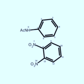 CC(=O)Nc1ccccc1.O=[N+]([O-])c1ccccc1[N+](=O)[O-]